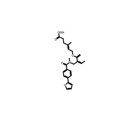 C=C(OC/C=C(\C)CCC(=O)OC)/C(=C\C)CN(C)C(=O)c1ccc(-c2ccco2)cc1